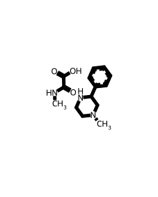 CN1CCNC(c2ccccc2)C1.CNC(=O)C(=O)O